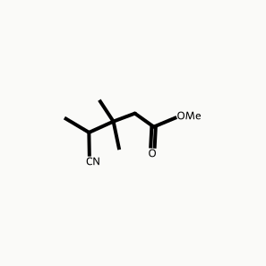 COC(=O)CC(C)(C)C(C)C#N